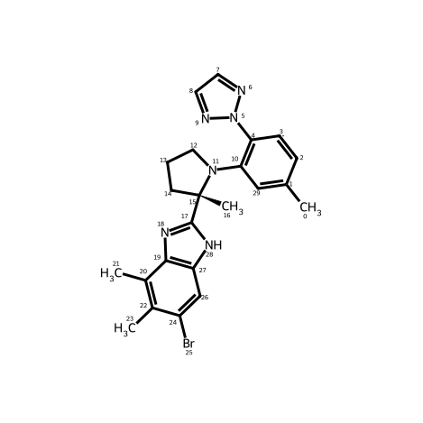 Cc1c[c]c(-n2nccn2)c(N2CCC[C@@]2(C)c2nc3c(C)c(C)c(Br)cc3[nH]2)c1